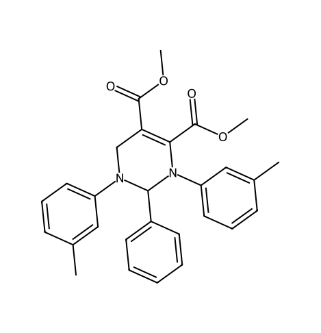 COC(=O)C1=C(C(=O)OC)N(c2cccc(C)c2)C(c2ccccc2)N(c2cccc(C)c2)C1